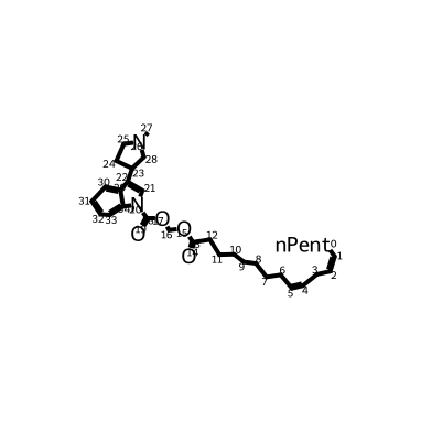 CCCCC/C=C\C/C=C\CCCCCCCC(=O)OCOC(=O)n1cc(C2CCN(C)C2)c2ccccc21